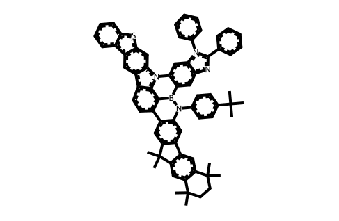 CC(C)(C)c1ccc(N2B3c4cc5nc(-c6ccccc6)n(-c6ccccc6)c5cc4-n4c5cc6sc7ccccc7c6cc5c5ccc(c3c54)-c3cc4c(cc32)-c2cc3c(cc2C4(C)C)C(C)(C)CCC3(C)C)cc1